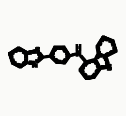 c1ccc2sc(-c3ccc(Nc4cccc5sc6ccccc6c45)cc3)nc2c1